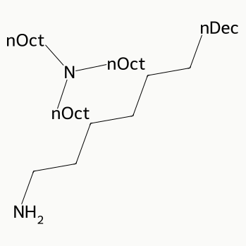 CCCCCCCCCCCCCCCCN.CCCCCCCCN(CCCCCCCC)CCCCCCCC